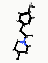 CC1CCN(C(C)Cc2ccc(C(C)(C)C)cc2)CC1